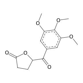 COc1cc(C(=O)C2CCC(=O)O2)cc(OC)c1OC